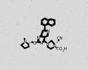 CN1CCC[C@H]1COc1nc(N2CCN(C(=O)O)[C@@H](CC#N)C2)c2cnc(-c3cccc4ccccc34)cc2n1